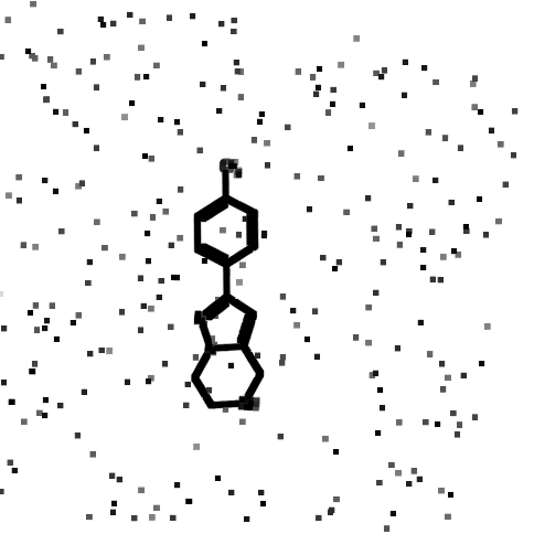 FC(F)(F)c1ccc(-c2cc3n(n2)CCNC3)cc1